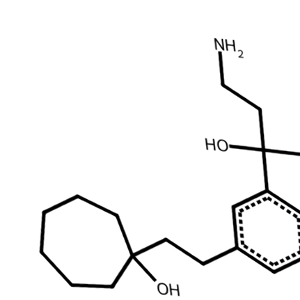 NCCC(O)(I)c1cccc(CCC2(O)CCCCCC2)c1